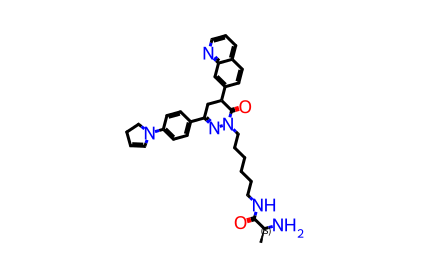 C[C@H](N)C(=O)NCCCCCCN1N=C(c2ccc(N3C=CCC3)cc2)CC(c2ccc3cccnc3c2)C1=O